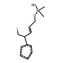 CC(C)(C)[Si](C)(C)OC/C=C/C(CI)c1ccccc1